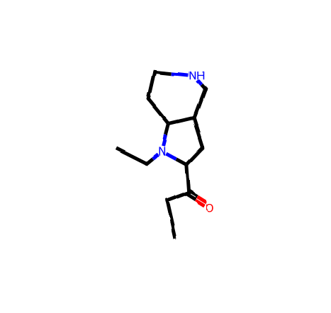 CCC(=O)C1CC2CNCCC2N1CC